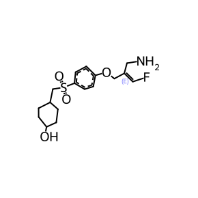 NC/C(=C\F)COc1ccc(S(=O)(=O)CC2CCC(O)CC2)cc1